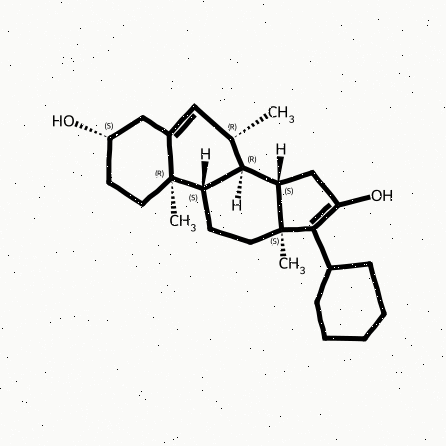 C[C@H]1C=C2C[C@@H](O)CC[C@]2(C)[C@H]2CC[C@]3(C)C(C4CCCCC4)=C(O)C[C@H]3[C@H]12